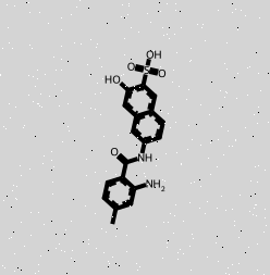 Cc1ccc(C(=O)Nc2ccc3cc(S(=O)(=O)O)c(O)cc3c2)c(N)c1